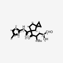 CCCCC(CN(O)C=O)C(=O)C1(C(=O)Nc2nc(C)cs2)CCC2(CC2)C1